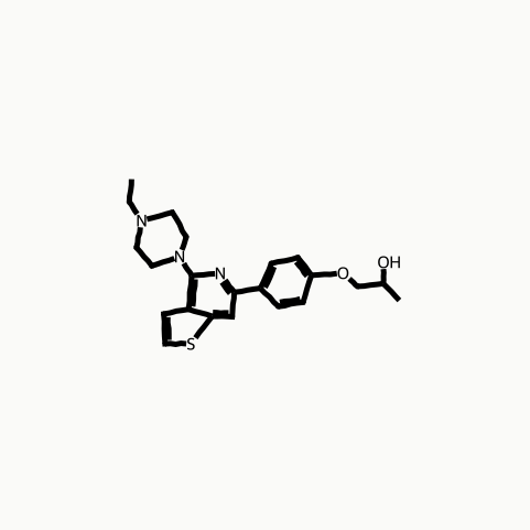 CCN1CCN(c2nc(-c3ccc(OCC(C)O)cc3)cc3sccc23)CC1